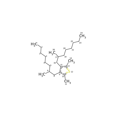 CCCCCCC(C)Cc1c(C)sc(C)c1CC(C)CCCCCC